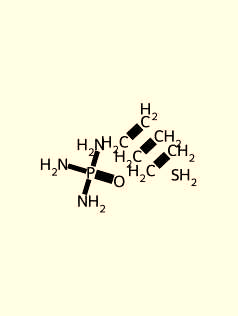 C=C.C=C.C=C.NP(N)(N)=O.S